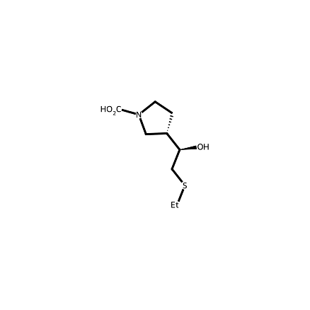 CCSC[C@H](O)[C@H]1CCN(C(=O)O)C1